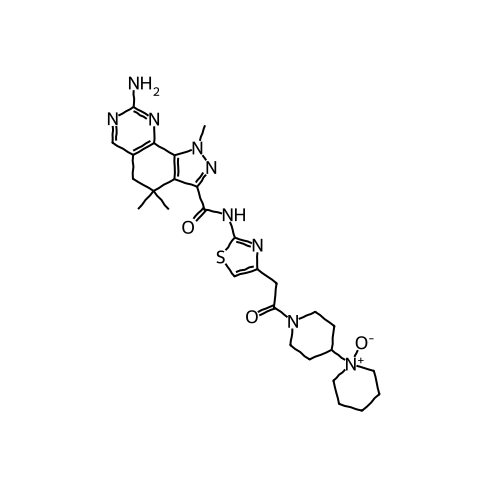 Cn1nc(C(=O)Nc2nc(CC(=O)N3CCC([N+]4([O-])CCCCC4)CC3)cs2)c2c1-c1nc(N)ncc1CC2(C)C